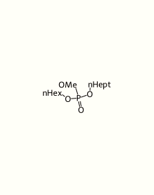 CCCCCCCOP(=O)(OC)OCCCCCC